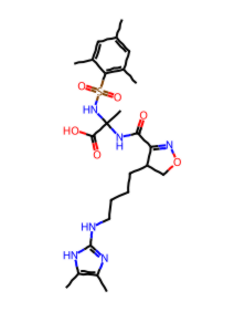 Cc1cc(C)c(S(=O)(=O)NC(C)(NC(=O)C2=NOCC2CCCCNc2nc(C)c(C)[nH]2)C(=O)O)c(C)c1